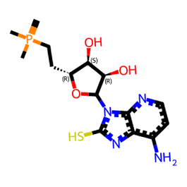 C=P(C)(C)CC[C@H]1OC(n2c(S)nc3c(N)ccnc32)[C@H](O)[C@@H]1O